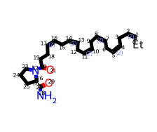 CC/C=C\C/C=C\C/C=C\C/C=C\C/C=C\C/C=C\CCC(=O)N1CC[CH][C@H]1C(N)=O